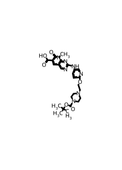 Cn1c(=O)c(C(=O)O)cc2cnc(Nc3ccc(OCCN4CCN(C(=O)OC(C)(C)C)CC4)nc3)nc21